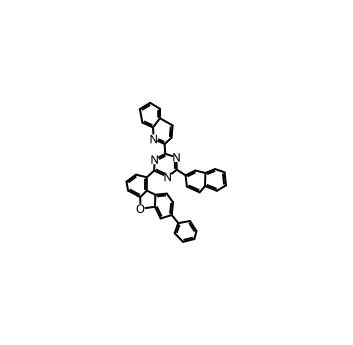 c1ccc(-c2ccc3c(c2)oc2cccc(-c4nc(-c5ccc6ccccc6c5)nc(-c5ccc6ccccc6n5)n4)c23)cc1